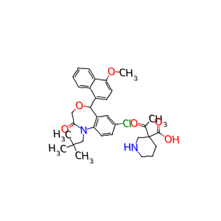 CC(=O)C1(C(=O)O)CCCNC1.COc1ccc(C2OCC(=O)N(CC(C)(C)C)c3ccc(Cl)cc32)c2ccccc12